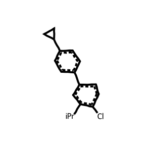 CC(C)c1cc(-c2ccc(C3CC3)cc2)ccc1Cl